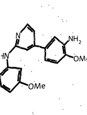 COc1cccc(Nc2cc(-c3ccc(OC)c(N)c3)ccn2)c1